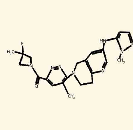 Cc1cc(C(=O)N2CC(C)(F)C2)nnc1N1CCc2ncc(Nc3ccnn3C)cc2C1